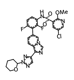 COc1ncc(Cl)cc1S(=O)(=O)Nc1ccc(F)c(-c2ccc3c(-c4cnn(C5CCCCO5)n4)ncn3c2)c1F